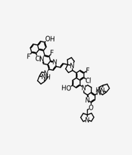 Oc1cc(-c2ncc3c(N4CC5CCC(C4)N5)cc(/C=C/C45CCCN4C(c4cc(F)c(Cl)c6c(N7CCc8c(N9CC%10CCC(C9)N%10)cc(OCC9%10CCCN9CCC%10)nc8C7)cc(O)cc46)CC5)nc3c2F)c2c(Cl)c(F)ccc2c1